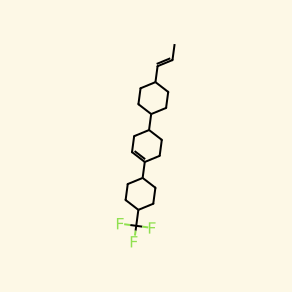 C/C=C/C1CCC(C2CC=C(C3CCC(C(F)(F)F)CC3)CC2)CC1